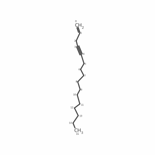 C=CCC#CCCCCCCCCCCC